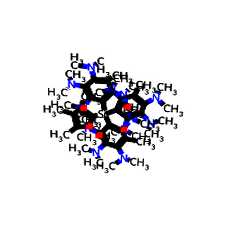 CC1=C(C)C(C)C([Si](c2c(N(C)C)c(C)c(N(C)C)c(N(C)C)c2N(C)C)(c2c(N(C)C)c(C)c(N(C)C)c(N(C)C)c2N(C)C)c2c(N(C)C)c(C)c(N(C)C)c(N(C)C)c2N(C)C)=C1C